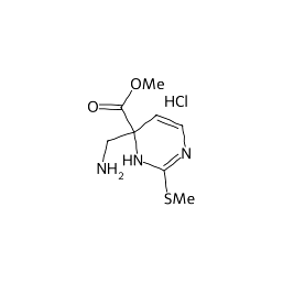 COC(=O)C1(CN)C=CN=C(SC)N1.Cl